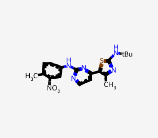 Cc1ccc(Nc2nccc(-c3sc(NC(C)(C)C)nc3C)n2)cc1[N+](=O)[O-]